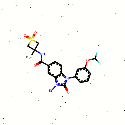 CCn1c(=O)n(-c2cccc(OC(F)F)c2)c2ccc(C(=O)NC3(C)CS(=O)(=O)C3)cc21